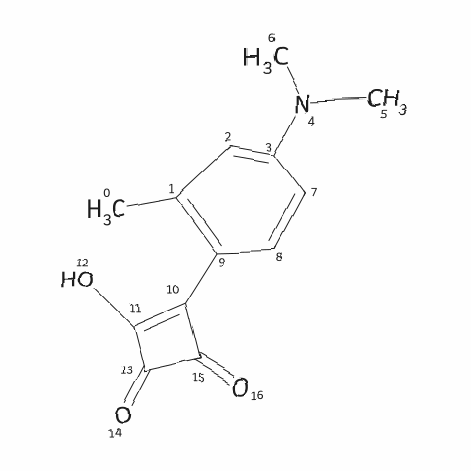 Cc1cc(N(C)C)ccc1-c1c(O)c(=O)c1=O